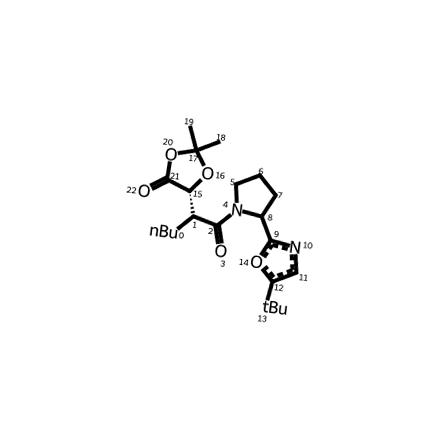 CCCCC(C(=O)N1CCCC1c1ncc(C(C)(C)C)o1)[C@H]1OC(C)(C)OC1=O